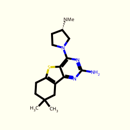 CN[C@H]1CCN(c2nc(N)nc3c4c(sc23)CCC(C)(C)C4)C1